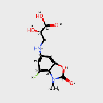 Cn1c(=O)oc2cc(NC[C@@H](O)C(=O)O)cc(F)c21